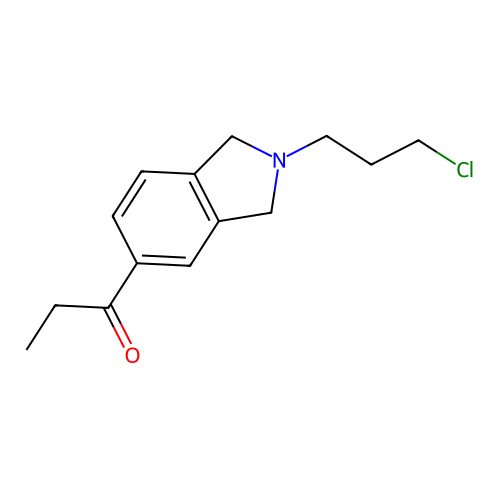 CCC(=O)c1ccc2c(c1)CN(CCCCl)C2